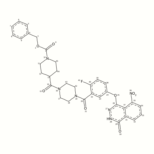 O=C(OCc1ccccc1)N1CCC(C(=O)N2CCN(C(=O)c3cc(Oc4n[nH]c(=O)c5cccc([N+](=O)[O-])c45)ccc3F)CC2)CC1